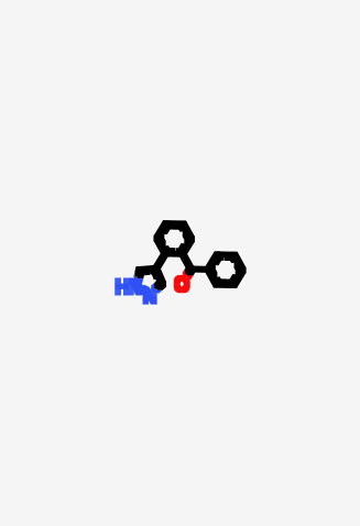 O=C(c1ccccc1)c1ccccc1-c1cn[nH]c1